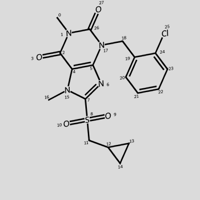 Cn1c(=O)c2c(nc(S(=O)(=O)CC3CC3)n2C)n(Cc2ccccc2Cl)c1=O